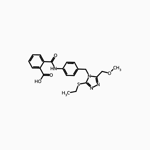 CCSc1nnc(COC)n1Cc1ccc(NC(=O)c2ccccc2C(=O)O)cc1